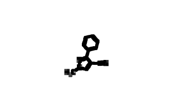 Cn1cc(C#N)c(-c2ccccc2)n1